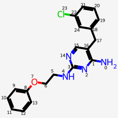 Nc1nc(NCCOc2ccccc2)ncc1Cc1cccc(Cl)c1